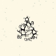 CCC(C)C(C(CC)OC)N(C)C(=O)CNC(=O)C1C2CCC(C2)N1C(=O)OCc1ccc(NC=O)cc1